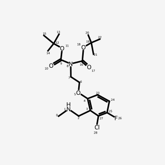 CNCc1c(OCCN(C(=O)OC(C)(C)C)C(=O)OC(C)(C)C)ccc(F)c1Cl